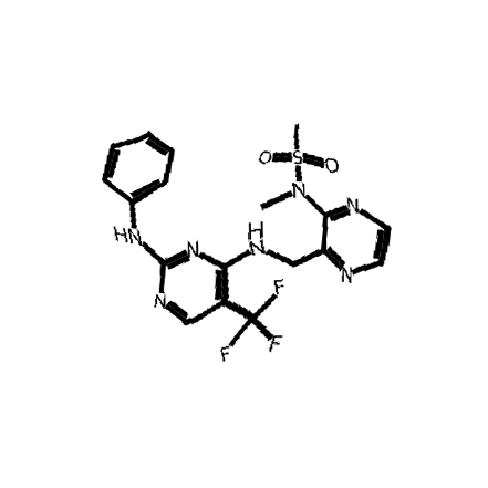 CN(c1nccnc1CNc1nc(Nc2ccccc2)ncc1C(F)(F)F)S(C)(=O)=O